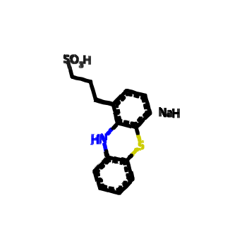 O=S(=O)(O)CCCc1cccc2c1Nc1ccccc1S2.[NaH]